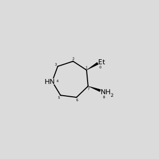 CC[C@@H]1CCNCC[C@@H]1N